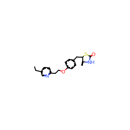 C=C1NC(=O)SC1Cc1ccc(OCCc2ccc(CC)cn2)cc1